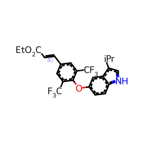 CCOC(=O)/C=C/c1cc(C(F)(F)F)c(Oc2ccc3[nH]cc(C(C)C)c3c2)c(C(F)(F)F)c1